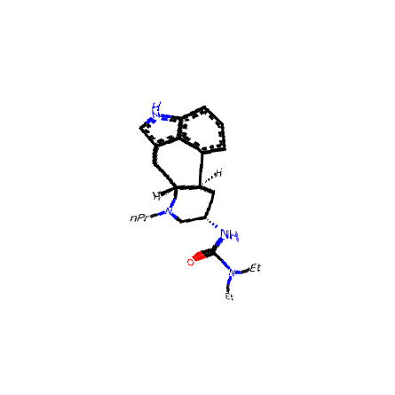 CCCN1C[C@@H](NC(=O)N(CC)CC)C[C@@H]2c3cccc4[nH]cc(c34)C[C@H]21